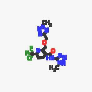 Cn1nnc(COCc2nc(C(F)(F)Cl)ccc2C(=O)Nc2nnnn2C)n1